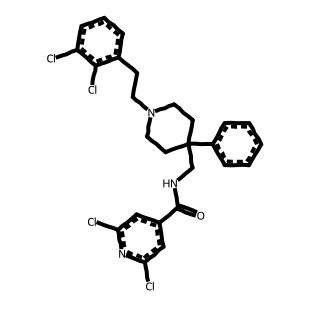 O=C(NCC1(c2ccccc2)CCN(CCc2cccc(Cl)c2Cl)CC1)c1cc(Cl)nc(Cl)c1